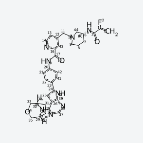 C=C(F)C(=O)N[C@@H]1CCCN(Cc2ccnc(C(=O)Nc3ccc(-c4cc5c(N6[C@@H]7CC[C@H]6COC7)ncnc5[nH]4)cc3)c2)C1